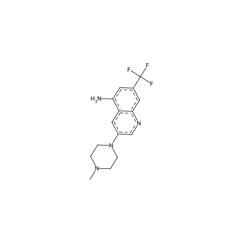 CN1CCN(c2cnc3cc(C(F)(F)F)cc(N)c3c2)CC1